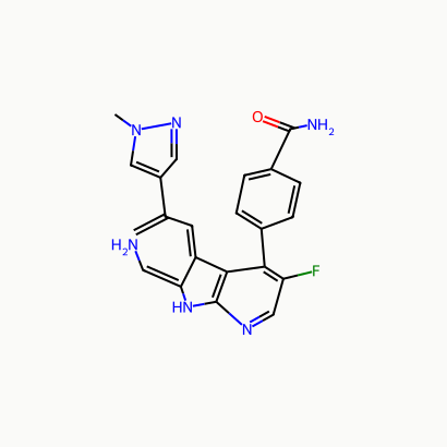 C=C(/C=c1\c(=C/N)[nH]c2ncc(F)c(-c3ccc(C(N)=O)cc3)c12)c1cnn(C)c1